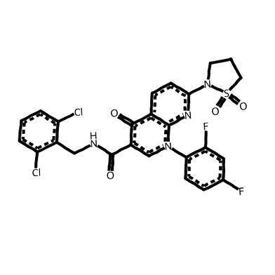 O=C(NCc1c(Cl)cccc1Cl)c1cn(-c2ccc(F)cc2F)c2nc(N3CCCS3(=O)=O)ccc2c1=O